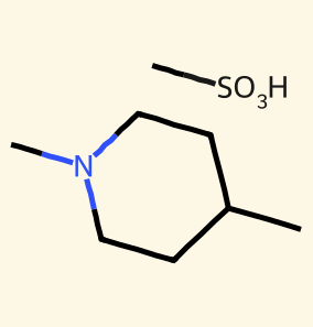 CC1CCN(C)CC1.CS(=O)(=O)O